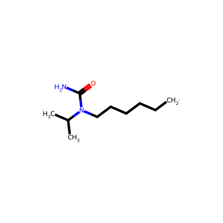 [CH2]CCCCCN(C(N)=O)C(C)C